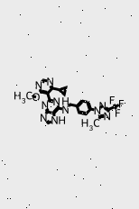 COc1ncnc(C2CC2)c1-c1nc(NCc2ccc(-n3nc(C(F)(F)F)nc3C)cc2)c2[nH]cnc2n1